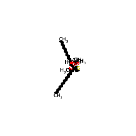 CCCCCCCCCCCCCCCCCC(CCCCCCCCCCCCCCCCC)(OCC)c1ccsc1B1OC(C)(C)C(C)(C)O1